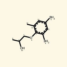 Bc1cc(B)c(OCC(C)O)c(C)c1